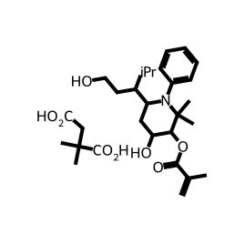 C=C(C)C(=O)OC1C(O)CC(C(CCO)C(C)C)N(c2ccccc2)C1(C)C.CC(C)(CC(=O)O)C(=O)O